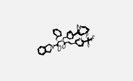 O=C([C@H](Cc1ccccc1)N(Cc1ccc(-c2ccccn2)cc1)C(=O)/C=C/c1ccc(C(F)(F)F)nc1)N1Cc2ccccc2C1